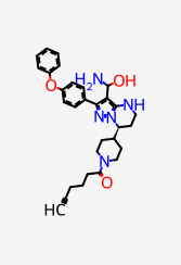 C#CCCCC(=O)N1CCC([C@@H]2CCNc3c(C(N)O)c(-c4ccc(Oc5ccccc5)cc4)nn32)CC1